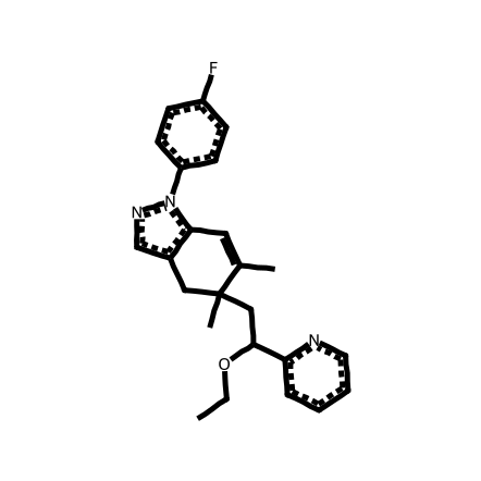 CCOC(CC1(C)Cc2cnn(-c3ccc(F)cc3)c2C=C1C)c1ccccn1